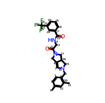 Cc1ccc(CN2C=C3CN(C(=O)CNC(=O)c4cccc(C(F)(F)F)c4)CC3C2)c(C)c1